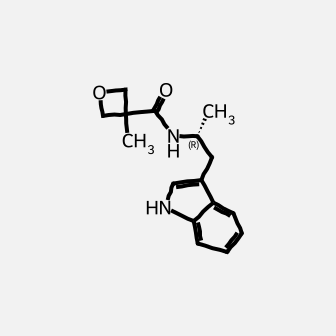 C[C@H](Cc1c[nH]c2ccccc12)NC(=O)C1(C)COC1